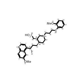 COc1ccc2nccc([C@@H](F)CC[C@@H]3CCN(CCCSc4ccccc4OC)C[C@@H]3CC(=O)O)c2c1